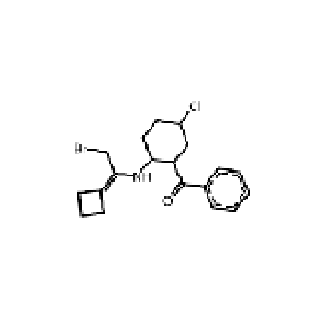 O=C(c1ccccc1)C1CC(Cl)CCC1NC(CBr)=C1CCC1